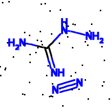 N#N.N=C(N)NN